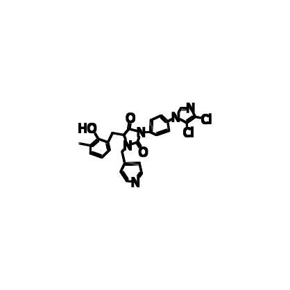 Cc1cccc(CC2C(=O)N(c3ccc(-n4cnc(Cl)c4Cl)cc3)C(=O)N2Cc2ccncc2)c1O